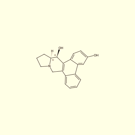 Oc1ccc2c3c(c4ccccc4c2c1)CN1CCC[C@H]1[C@H]3O